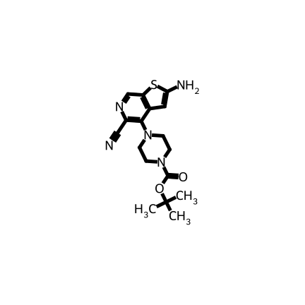 CC(C)(C)OC(=O)N1CCN(c2c(C#N)ncc3sc(N)cc23)CC1